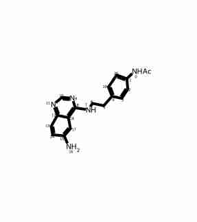 CC(=O)Nc1ccc(CCNc2ncnc3ccc(N)cc23)cc1